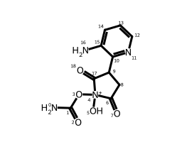 NC(=O)O[N+]1(O)C(=O)CC(c2ncccc2N)C1=O